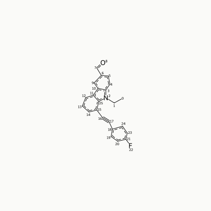 CCn1c2ccc(C=O)cc2c2cccc(C#Cc3ccc(F)cc3)c21